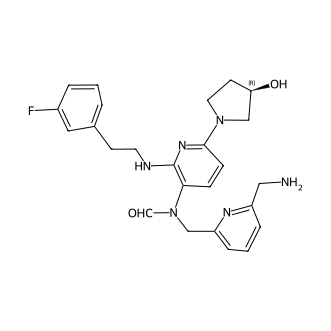 NCc1cccc(CN(C=O)c2ccc(N3CC[C@@H](O)C3)nc2NCCc2cccc(F)c2)n1